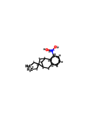 CCC1(CC)CC2CC1Cc1cccc([N+](=O)[O-])c12